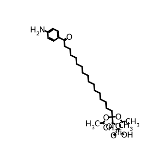 CC(C)OC(CCCCCCCCCCCCCCCCC(=O)c1ccc(N)cc1)(OC(C)C)C(=O)[O][Ti](=[O])[OH]